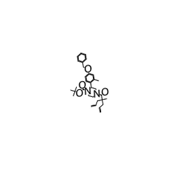 C=CCC(C)(CC=C)C(=O)N1CCN(C(=O)OC(C)(C)C)C(c2ccc(OCc3ccccc3)cc2C)C1